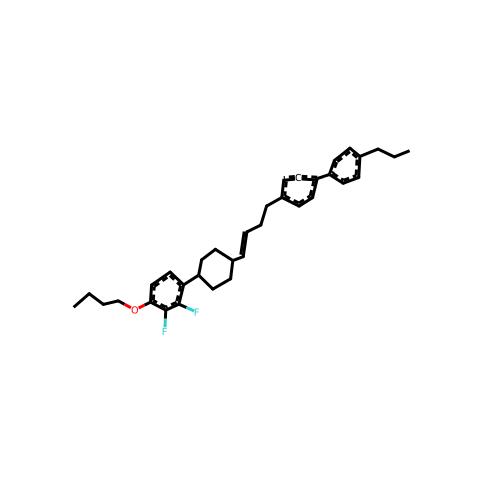 CCCCOc1ccc(C2CCC(/C=C/CCc3ccc(-c4ccc(CCC)cc4)cc3)CC2)c(F)c1F